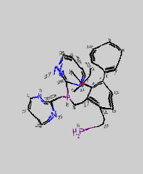 CC(C)(C)c1c(-c2ccccc2)ccc(CP)c1CP(c1ncccn1)c1ncccn1